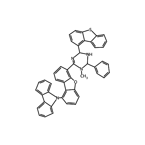 CN1C(c2cccc3c2oc2cccc(-n4c5ccccc5c5ccccc54)c23)=NC(c2cccc3sc4ccccc4c23)NC1c1ccccc1